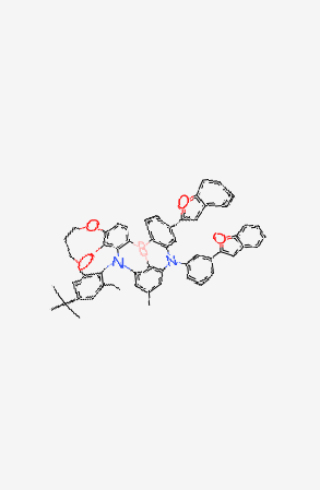 Cc1cc2c3c(c1)N(c1c(C)cc(C(C)(C)C)cc1C)c1c(ccc4c1OCCCO4)B3c1ccc(-c3cc4ccccc4o3)cc1N2c1cccc(-c2cc3ccccc3o2)c1